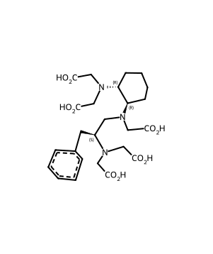 O=C(O)CN(CC(=O)O)[C@@H](Cc1ccccc1)CN(CC(=O)O)[C@@H]1CCCC[C@H]1N(CC(=O)O)CC(=O)O